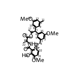 COc1cc(C)cc(C(c2cc(C)cc(OC)c2)[C@H](C)OC(=O)[C@H](C)NC(=O)c2c(O)c(OC)cc[n+]2[O-])c1